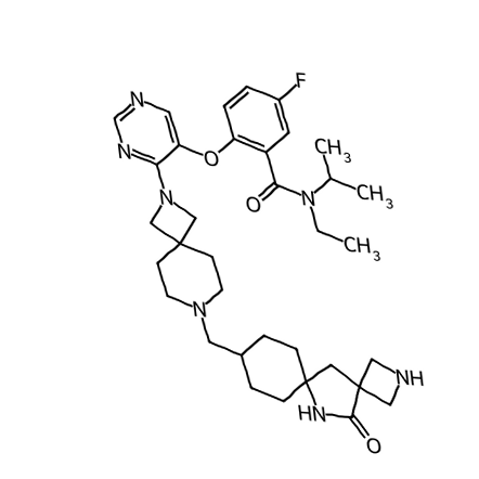 CCN(C(=O)c1cc(F)ccc1Oc1cncnc1N1CC2(CCN(CC3CCC4(CC3)CC3(CNC3)C(=O)N4)CC2)C1)C(C)C